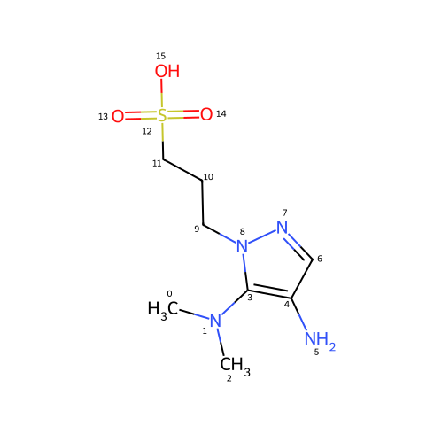 CN(C)c1c(N)cnn1CCCS(=O)(=O)O